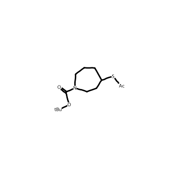 CC(=O)SC1CCCN(C(=O)OC(C)(C)C)CC1